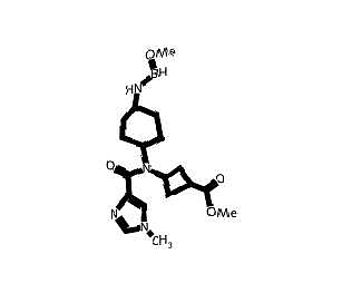 COBNC1CCC(N(C(=O)c2cn(C)cn2)C2CC(C(=O)OC)C2)CC1